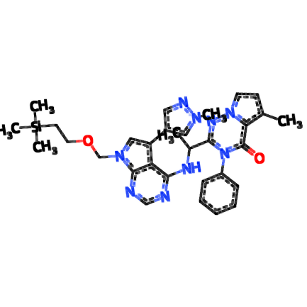 Cc1ccn2nc(C(C)Nc3ncnc4c3c(-c3cnn(C)c3)cn4COCC[Si](C)(C)C)n(-c3ccccc3)c(=O)c12